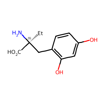 CC[C@](N)(Cc1ccc(O)cc1O)C(=O)O